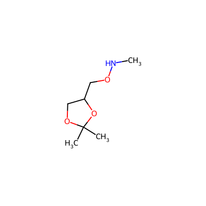 CNOCC1COC(C)(C)O1